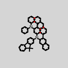 CC1(C)c2ccccc2-c2ccc(N(c3cc(N(c4ccccc4)c4ccccc4)c4c(ccc5ccccc54)c3)c3cc4ccccc4cc3-c3ccccc3)cc21